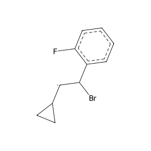 Fc1ccccc1C(Br)[CH]C1CC1